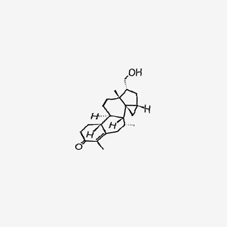 CC1=C2C[C@@H](C)[C@@H]3[C@H](CC[C@]4(C)[C@H](CO)C[C@@H]5C[C@@]534)[C@H]2CCC1=O